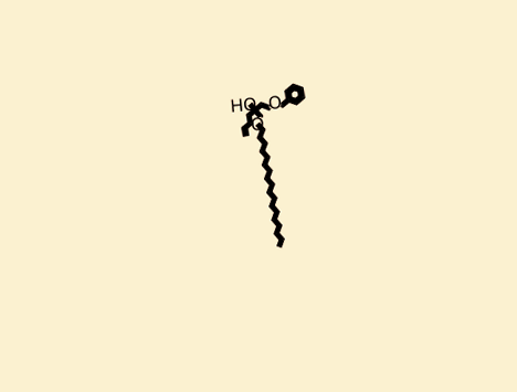 C=CCCC(O)(CCOCc1ccccc1)COCCCCCCCCCCCCCCCCCC